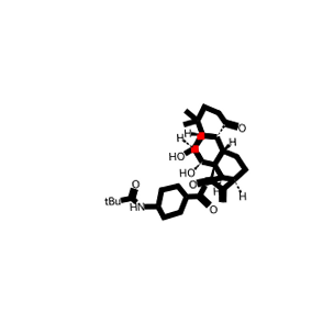 C=C1C(=O)[C@]23[C@H](OC(=O)C4CCC(NC(=O)C(C)(C)C)CC4)[C@H]1CC[C@H]2[C@@]12CO[C@@]3(O)[C@@H](O)[C@@H]1C(C)(C)CCC2=O